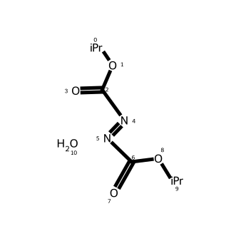 CC(C)OC(=O)N=NC(=O)OC(C)C.O